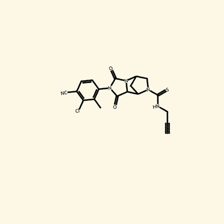 C#CCNC(=S)N1CC2CC1C1C(=O)N(c3ccc(C#N)c(Cl)c3C)C(=O)N21